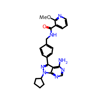 COc1ncccc1C(=O)NCc1ccc(-c2nn(C3CCCC3)c3ncnc(N)c23)cc1